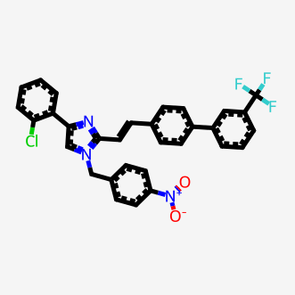 O=[N+]([O-])c1ccc(Cn2cc(-c3ccccc3Cl)nc2C=Cc2ccc(-c3cccc(C(F)(F)F)c3)cc2)cc1